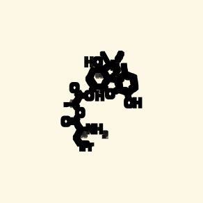 Cc1ccc(O)c2c1[C@]13CCN(C)[C@H](C)[C@]1(O)CC=C(OC(=O)[C@H](C)OC(=O)[C@@H](N)CC(C)C)[C@@H]3O2